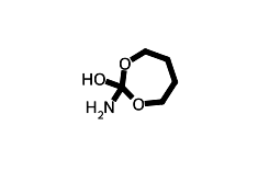 NC1(O)OCCCCO1